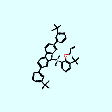 C=CCOc1c(C(C)(C)C)cccc1[Si](C)(C)C1c2cc(-c3cccc(C(C)(C)C)c3)ccc2-c2ccc(-c3cccc(C(C)(C)C)c3)cc21